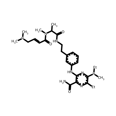 CCc1nc(C(N)=O)c(Nc2cccc(CCNC(=O)C(C)N(C)C(=O)/C=C/CN(C)C)c2)nc1N(C)CC